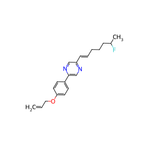 C=CCOc1ccc(-c2cnc(C=CCCCC(C)F)cn2)cc1